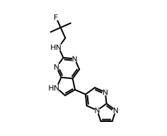 CC(C)(F)CNc1ncc2c(-c3cnc4nccn4c3)c[nH]c2n1